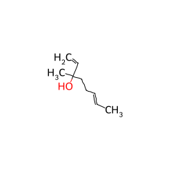 C=CC(C)(O)CCC=CC